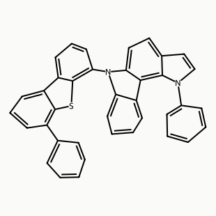 c1ccc(-c2cccc3c2sc2c(-n4c5ccccc5c5c6c(ccc54)ccn6-c4ccccc4)cccc23)cc1